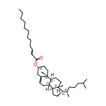 CCCCCCCCCC=CC(=O)O[C@H]1CC[C@@]2(C)C(=CC[C@H]3[C@@H]4CC[C@H]([C@H](C)CCCC(C)C)[C@@]4(C)CC[C@@H]32)C1